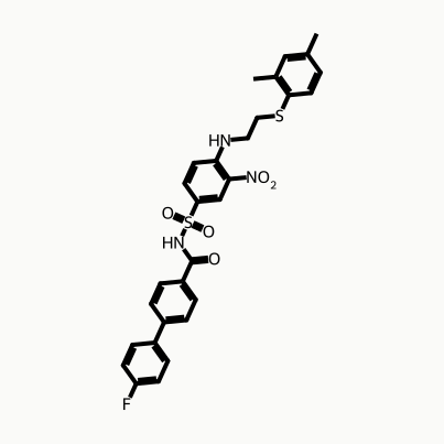 Cc1ccc(SCCNc2ccc(S(=O)(=O)NC(=O)c3ccc(-c4ccc(F)cc4)cc3)cc2[N+](=O)[O-])c(C)c1